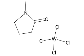 CN1CCCC1=O.[Cl][W]([Cl])([Cl])[Cl]